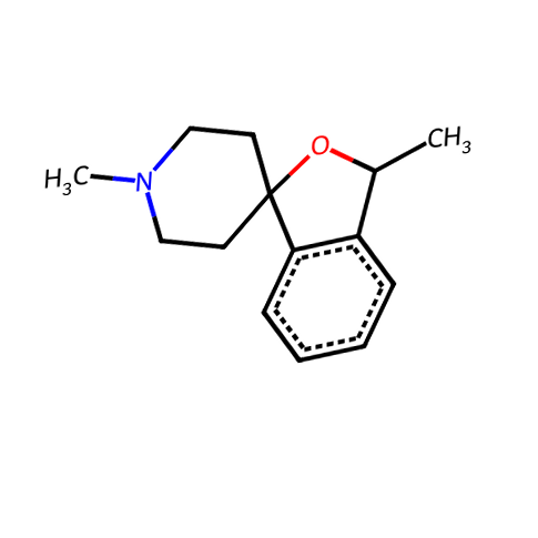 CC1OC2(CCN(C)CC2)c2ccccc21